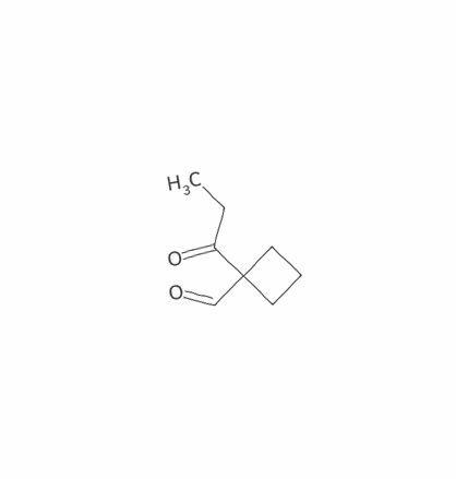 CCC(=O)C1(C=O)CCC1